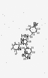 Cc1cccc(-n2nc(NCc3ccc(Br)cc3)cc2-c2ccc3ncnn3c2)n1